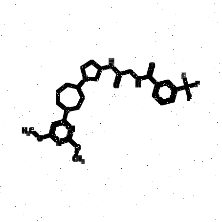 COc1cc(N2CCCC(N3CCC(NC(=O)CNC(=O)c4cccc(C(F)(F)F)c4)C3)CC2)nc(OC)n1